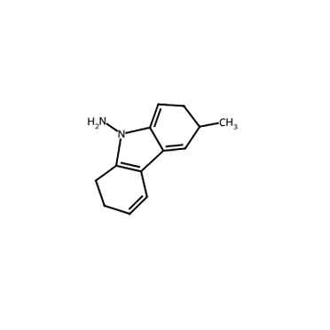 CC1C=c2c3c(n(N)c2=CC1)CCC=C3